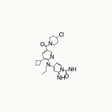 CCCN(c1ccn(C(=O)NC)c(=N)c1)c1ncc(C(=O)N2CCC(Cl)CC2)cc1C1CCC1